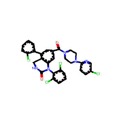 O=C(c1cc(-c2ccccc2Cl)c2c(c1)N(c1c(Cl)cccc1Cl)C(=O)NC2)N1CCN(c2ccc(Cl)cn2)CC1